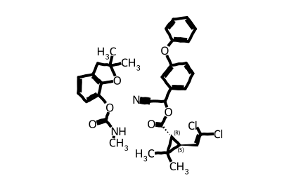 CC1(C)[C@H](C=C(Cl)Cl)[C@H]1C(=O)OC(C#N)c1cccc(Oc2ccccc2)c1.CNC(=O)Oc1cccc2c1OC(C)(C)C2